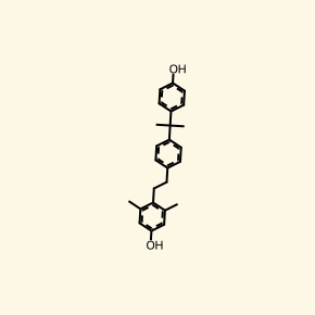 Cc1cc(O)cc(C)c1CCc1ccc(C(C)(C)c2ccc(O)cc2)cc1